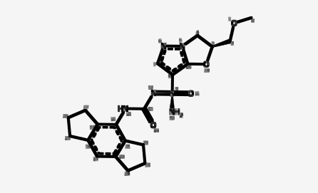 COC[C@@H]1Cn2ncc([S@](N)(=O)=NC(=O)Nc3c4c(cc5c3CCC5)CCC4)c2O1